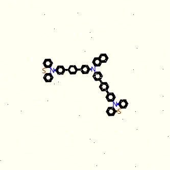 C1=CC(c2ccc(N3c4ccccc4Sc4ccccc43)cc2)CC=C1c1ccc(N(c2ccc(-c3ccc(-c4ccc(N5c6ccccc6Sc6ccccc65)cc4)cc3)cc2)c2ccc3ccccc3c2)cc1